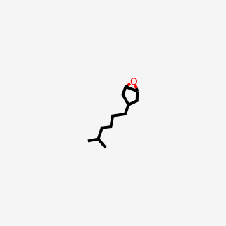 CC(C)CCCCC1CC2OC2C1